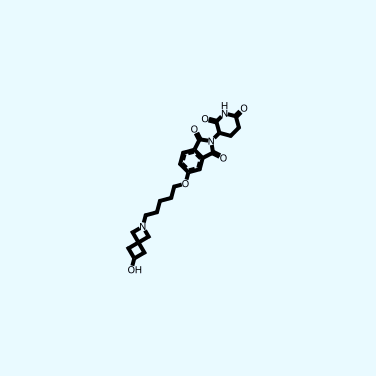 O=C1CCC(N2C(=O)c3ccc(OCCCCCN4CC5(CC(O)C5)C4)cc3C2=O)C(=O)N1